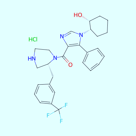 Cl.O=C(c1ncn([C@H]2CCCC[C@H]2O)c1-c1ccccc1)N1CCNC[C@H]1Cc1cccc(C(F)(F)F)c1